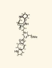 COC[C@@H](F)CN(CCCCC1=C(\C)CCC2=C(/C=C\1)CCCN2)CC[C@@H]1N\C2=c3/cccc/c3=N/C=C(/CC2)OC1=O